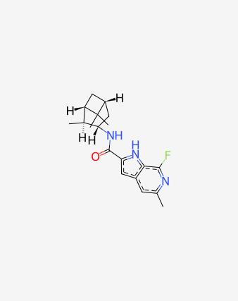 Cc1cc2cc(C(=O)N[C@H]3C[C@H]4C[C@@H]([C@@H]3C)C4(C)C)[nH]c2c(F)n1